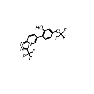 Oc1cc(OC(F)(F)F)ccc1-c1ccc2nnc(C(F)(F)F)n2c1